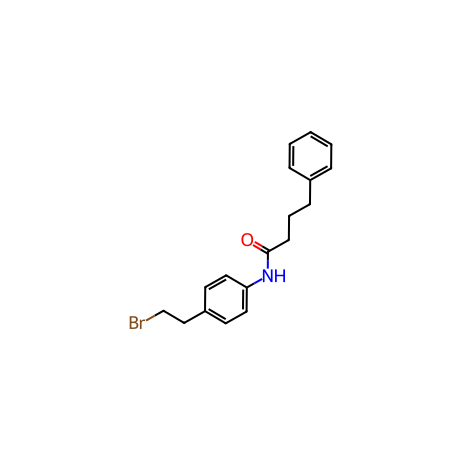 O=C(CCCc1ccccc1)Nc1ccc(CCBr)cc1